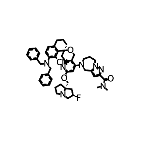 CN(C)C(=O)c1cc2n(n1)CCCN(c1cc(OC[C@@]34CCCN3C[C@H](F)C4)nc3c1CO[C@@]1(CCCc4ccc(N(Cc5ccccc5)Cc5ccccc5)c(C#N)c41)C3)C2